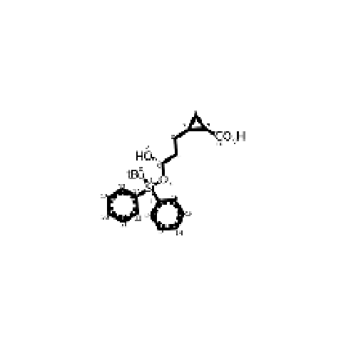 CC(C)(C)[Si](O[C@H](O)CCC1CC1C(=O)O)(c1ccccc1)c1ccccc1